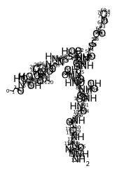 CCCC(=O)NC[C@H](O)[C@@H](O)[C@H](O)[C@H]1COB([C@H](CC(C)C)NC(=O)[C@H](Cc2ccccc2)NC(=O)c2cnc(CSSC[C@H](NC(=O)[C@H](CNC(=O)CCSSCCOC(=O)CCCOC3CCCCC3)NC(=O)CNC(=O)[C@H](CCC(=O)O)NC(=O)CNC(=O)[C@H](CCC(=O)O)NC(=O)CNC(=O)CCCNC(=O)c3ccc(NCc4cnc5nc(N)[nH]c(=O)c5n4)cc3)C(=O)O)cn2)O1